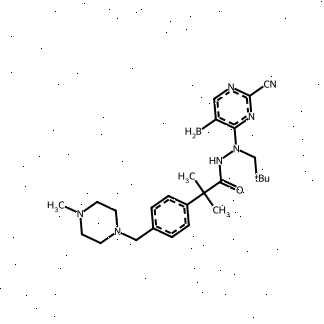 Bc1cnc(C#N)nc1N(CC(C)(C)C)NC(=O)C(C)(C)c1ccc(CN2CCN(C)CC2)cc1